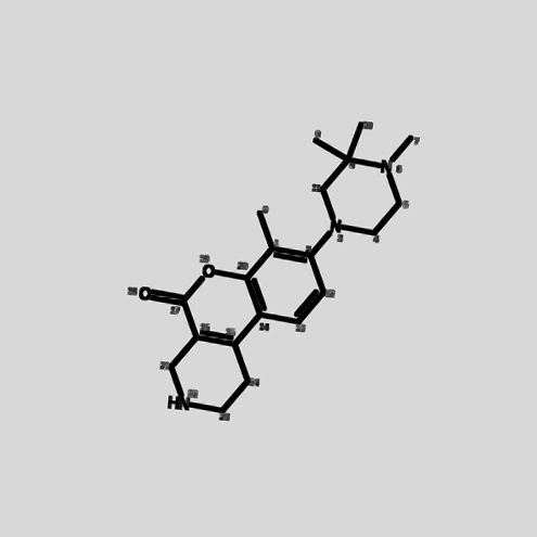 Cc1c(N2CCN(C)C(C)(C)C2)ccc2c3c(c(=O)oc12)CNCC3